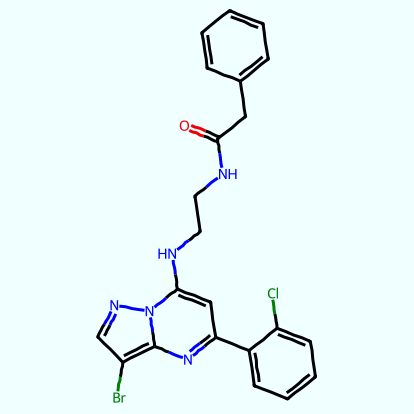 O=C(Cc1ccccc1)NCCNc1cc(-c2ccccc2Cl)nc2c(Br)cnn12